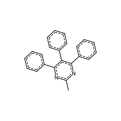 Cc1nc(-c2ccccc2)c(-c2ccccc2)c(-c2ccccc2)n1